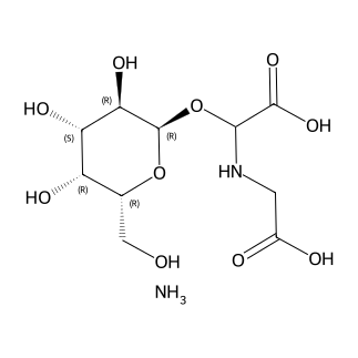 N.O=C(O)CNC(O[C@H]1O[C@H](CO)[C@H](O)[C@H](O)[C@H]1O)C(=O)O